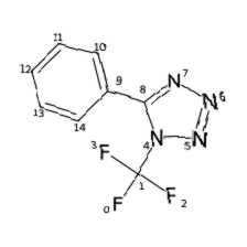 FC(F)(F)n1nnnc1-c1ccccc1